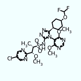 COc1ncnc(OC)c1-n1c(NS(=O)(=O)[C@@H](C)[C@H](OC)c2ncc(Cl)cn2)nnc1[C@H]1CC[C@@H](OC(F)F)CC1